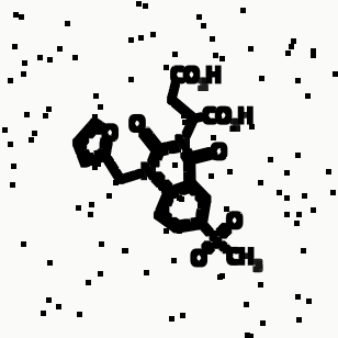 CS(=O)(=O)c1ccc2c(c1)c(=O)n(C(CC(=O)O)C(=O)O)c(=O)n2Cc1ccco1